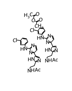 CC(=O)NCCc1ncc(-c2ccnc(Nc3cccc(Cl)c3)n2)[nH]1.CC(=O)NCCc1ncc(-c2ccnc(Nc3cccc(Cl)c3)n2)[nH]1.CC(=O)OC(C)=O